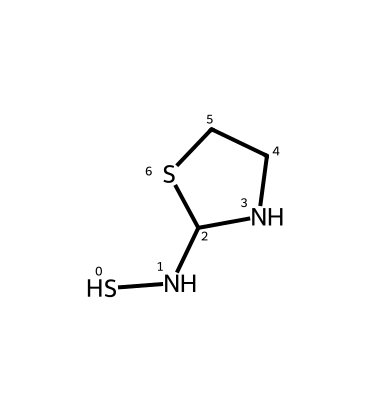 SNC1NCCS1